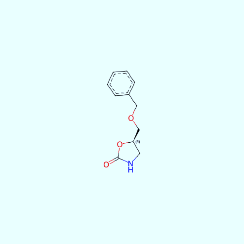 O=C1NC[C@H](COCc2ccccc2)O1